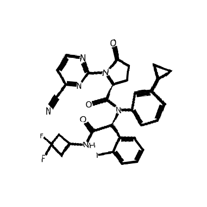 N#Cc1ccnc(N2C(=O)CC[C@H]2C(=O)N(c2cccc(C3CC3)c2)[C@H](C(=O)NC2CC(F)(F)C2)c2ccccc2I)n1